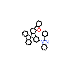 c1ccc(-c2nc3ccccc3n2-c2ccc3c(c2)-c2c(ccc4c2oc2ccccc24)C32c3ccccc3-c3ccccc32)cc1